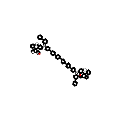 c1ccc(-c2ccc(N(c3ccc(-c4ccc(-c5ccc(-c6ccc(-c7ccc(-c8ccc(N(c9cccc(-c%10ccccc%10)c9)c9ccc%10c(c9)Oc9ccccc9C%109c%10ccccc%10-c%10ccccc%109)cc8)cc7)cc6)cc5)cc4)cc3)c3ccc4c(c3)C3(c5ccccc5O4)c4ccccc4-c4ccccc43)cc2)cc1